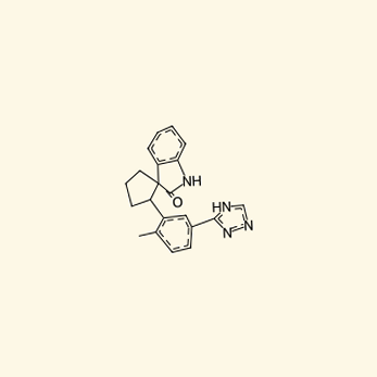 Cc1ccc(-c2nnc[nH]2)cc1C1CCCC12C(=O)Nc1ccccc12